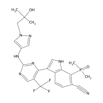 CC(C)(O)Cn1cc(Nc2ncc(C(F)(F)F)c(-c3c[nH]c4c(P(C)(C)=O)c(C#N)ccc34)n2)cn1